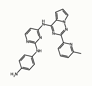 Cc1cccc(-c2nc(Nc3ccnc(Nc4ccc(N)cc4)n3)c3cccn3n2)n1